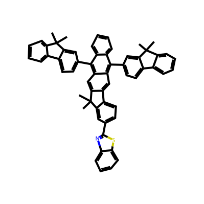 CC1(C)c2ccccc2-c2ccc(-c3c4ccccc4c(-c4ccc5c(c4)C(C)(C)c4ccccc4-5)c4cc5c(cc34)-c3ccc(-c4nc6ccccc6s4)cc3C5(C)C)cc21